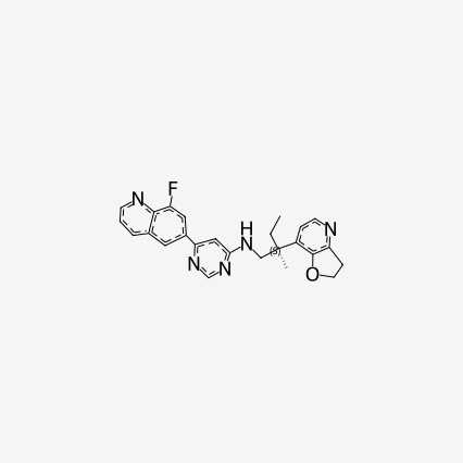 CC[C@](C)(CNc1cc(-c2cc(F)c3ncccc3c2)ncn1)c1ccnc2c1OCC2